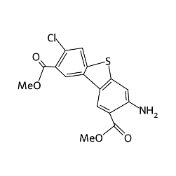 COC(=O)c1cc2c(cc1N)sc1cc(Cl)c(C(=O)OC)cc12